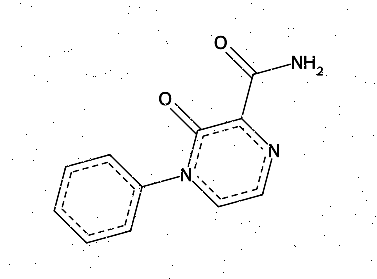 NC(=O)c1nccn(-c2ccccc2)c1=O